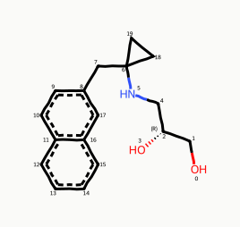 OC[C@H](O)CNC1(Cc2ccc3ccccc3c2)CC1